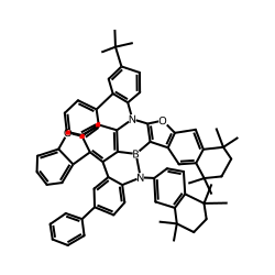 CC(C)(C)c1ccc(N2c3cc4oc5ccccc5c4c4c3B(c3c2oc2cc5c(cc32)C(C)(C)CCC5(C)C)N(c2ccc3c(c2)C(C)(C)CCC3(C)C)c2ccc(-c3ccccc3)cc2-4)c(-c2ccccc2)c1